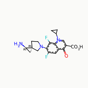 N[C@@H]1C[C@@]12CCN(c1c(F)cc3c(=O)c(C(=O)O)cn(C4CC4)c3c1F)C2